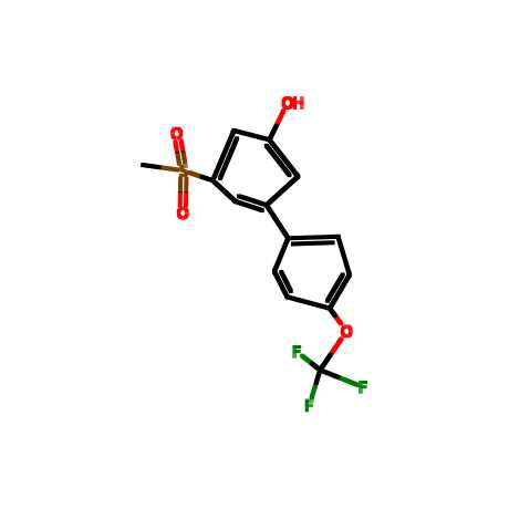 CS(=O)(=O)c1cc(O)cc(-c2ccc(OC(F)(F)F)cc2)c1